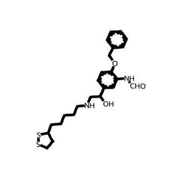 O=CNc1cc(C(O)CNCCCCCC2CCSS2)ccc1OCc1ccccc1